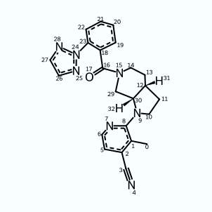 Cc1c(C#N)ccnc1N1CC[C@H]2CCN(C(=O)c3ccccc3-n3nccn3)C[C@H]21